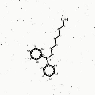 OCCCCCCCP(c1ccccc1)c1ccccc1